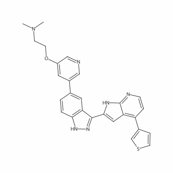 CN(C)CCOc1cncc(-c2ccc3[nH]nc(-c4cc5c(-c6ccsc6)ccnc5[nH]4)c3c2)c1